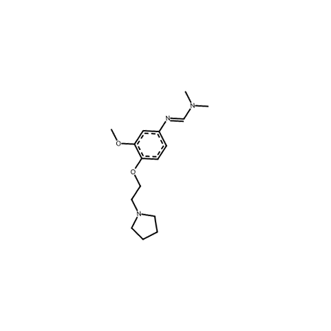 COc1cc(N=CN(C)C)ccc1OCCN1CCCC1